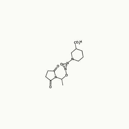 CC(On1on1N1CCCC(C(=O)O)C1)N1C(=O)CCC1=O